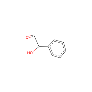 O=[C]C(O)c1ccccc1